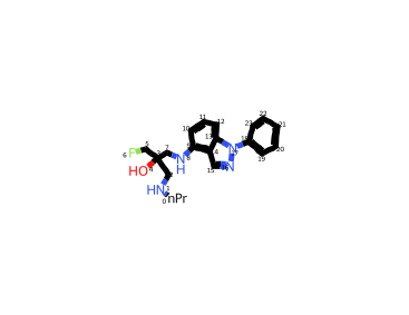 CCCNCC(O)(CF)CNc1cccc2c1cnn2-c1ccccc1